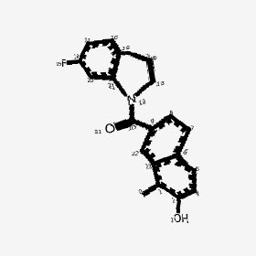 Cc1c(O)ccc2ccc(C(=O)N3CCc4ccc(F)cc43)cc12